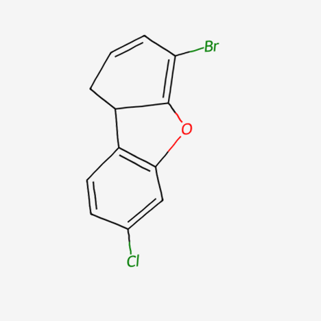 Clc1ccc2c(c1)OC1=C(Br)C=CCC12